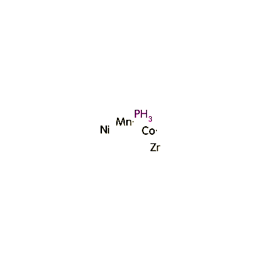 P.[Co].[Mn].[Ni].[Zr]